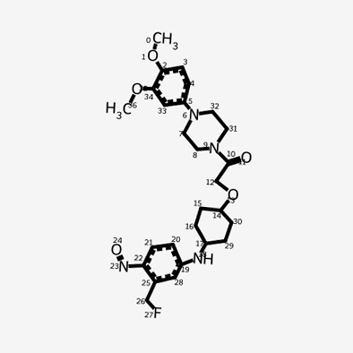 COc1ccc(N2CCN(C(=O)COC3CCC(Nc4ccc(N=O)c(CF)c4)CC3)CC2)cc1OC